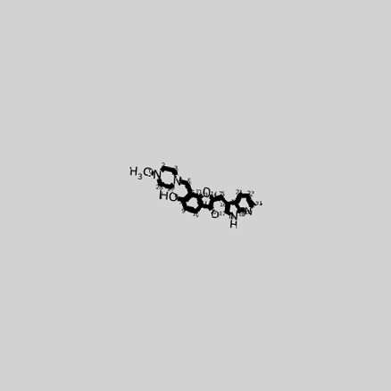 CN1CCN(Cc2c(O)ccc3c2OC(=Cc2c[nH]c4ncccc24)C3=O)CC1